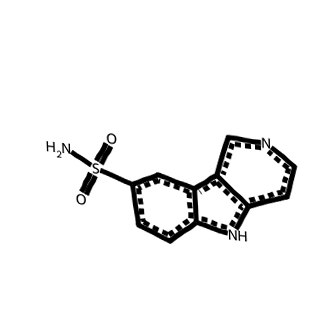 NS(=O)(=O)c1ccc2[nH]c3ccncc3c2c1